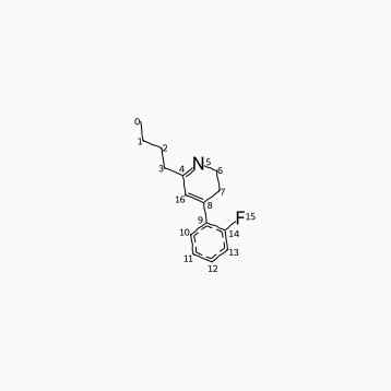 CCCCC1=NCCC(c2ccccc2F)=C1